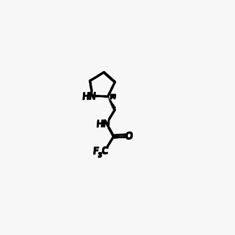 O=C(NC[C@H]1CCCN1)C(F)(F)F